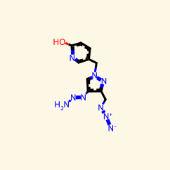 [N-]=[N+]=NCc1nn(Cc2ccc(O)nc2)cc1N=NN